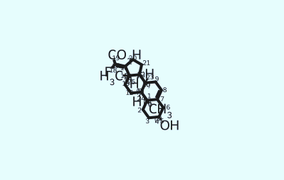 C[C@]12CC[C@H](O)CC1=CC[C@@H]1[C@@H]2CC[C@]2(C)C(=C(F)C(=O)O)CC[C@@H]12